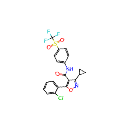 O=C(Nc1ccc(S(=O)(=O)C(F)(F)F)cc1)c1c(C2CC2)noc1-c1ccccc1Cl